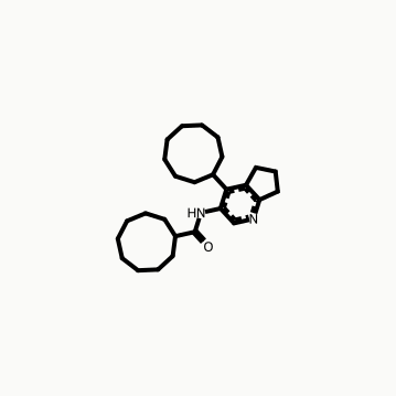 O=C(Nc1cnc2c(c1C1CCCCCCCC1)CCC2)C1CCCCCCCC1